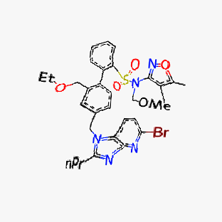 CCCc1nc2nc(Br)ccc2n1Cc1ccc(-c2ccccc2S(=O)(=O)N(COC)c2noc(C)c2C)c(COCC)c1